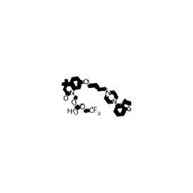 CC1(C)CC(=O)N(COC(O)OCC(F)(F)F)c2cc(OCCCCN3CCN(c4cccc5sccc45)CC3)ccc21